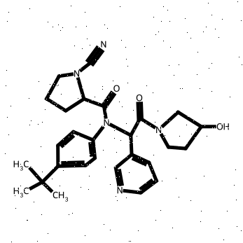 CC(C)(C)c1ccc(N(C(=O)C2CCCN2C#N)C(C(=O)N2CCC(O)C2)c2cccnc2)cc1